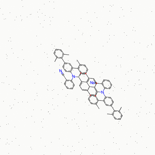 Cc1cccc(C)c1-c1ccc(N(C2=C3C=CC4=C5C(=CC=C(C=C2)C35)C(N(c2ccccc2C#N)c2ccc(-c3c(C)cccc3C)cc2-c2c(C)cccc2C)C=C4)c2ccccc2C#N)c(-c2c(C)cccc2C)c1